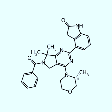 C[C@@H]1COCCN1c1nc(-c2cccc3c2CC(=O)N3)nc2c1CN(C(=O)c1ccccc1)C2(C)C